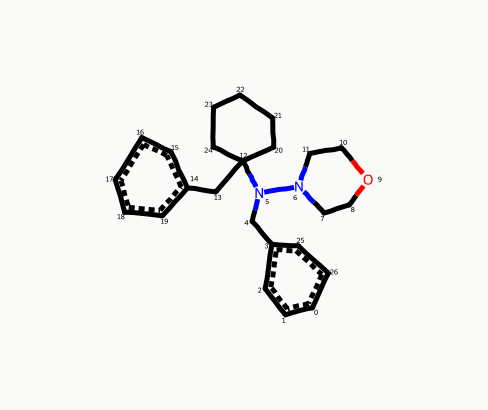 c1ccc(CN(N2CCOCC2)C2(Cc3ccccc3)CCCCC2)cc1